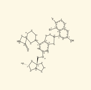 CCc1c(F)ccc2cc(O)cc(N3CCc4c(nc(OC[C@@]56CCCN5C[C@H](F)C6)nc4N4CCCC5(CNC5=O)C4)C3)c12